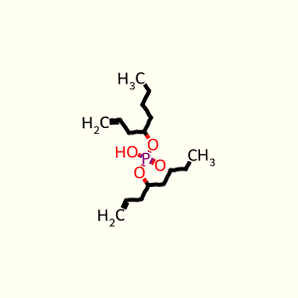 C=CCC(CCCC)OP(=O)(O)OC(CC=C)CCCC